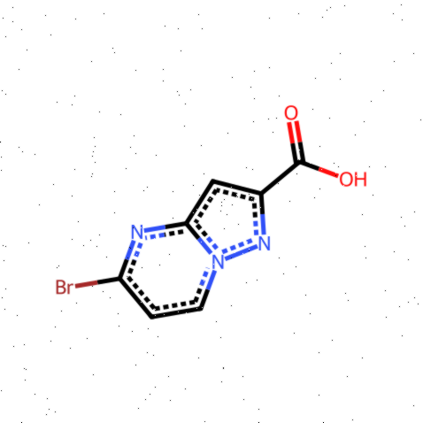 O=C(O)c1cc2nc(Br)ccn2n1